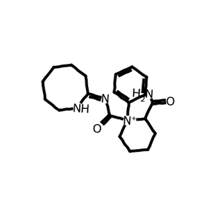 NC(=O)C1CCCC[N+]1(C(=O)N=C1CCCCCCN1)c1ccccc1